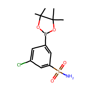 CC1(C)OB(c2cc(Cl)cc(S(N)(=O)=O)c2)OC1(C)C